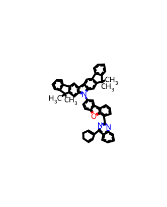 CC1(C)c2ccccc2-c2cc3c4cc5c(cc4n(-c4ccc6oc7c(-c8nc(C9=CCCC=C9)c9ccccc9n8)cccc7c6c4)c3cc21)C(C)(C)c1ccccc1-5